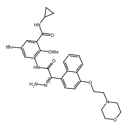 COc1c(NC(=O)/C(=N\N)c2ccc(OCCN3CCOCC3)c3ccccc23)cc(C(C)(C)C)cc1C(=O)NC1CC1